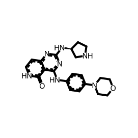 O=c1[nH]ccc2nc(N[C@H]3CCNC3)nc(Nc3ccc(N4CCOCC4)cc3)c12